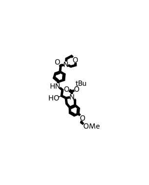 COCOc1ccc2c(c1)CN(C(=O)OC(C)(C)C)C([C@H](O)CNc1ccc(C(=O)N3CCOCC3)cc1)C2